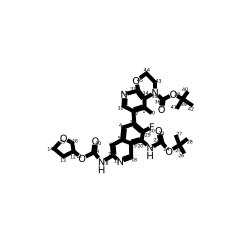 Cc1c(-c2cc3cc(NC(=O)OC4CCOC4)ncc3c(NC(=O)OC(C)(C)C)c2F)cnc2c1N(C(=O)OC(C)(C)C)CCO2